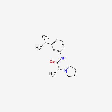 CC(C)c1cccc(NC(=O)C(C)N2CCCC2)c1